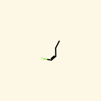 CC/C=[C]\F